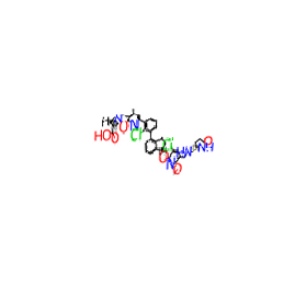 COc1nc(O[C@H]2CCc3c(-c4cccc(-c5cc(C)c(CN6C[C@@H]7C8C6[C@@]87C(=O)O)c(OC)n5)c4Cl)cccc32)c(Cl)cc1CNC[C@@H]1CCC(=O)N1